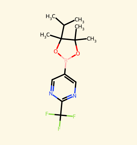 CC(C)C1(C)OB(c2cnc(C(F)(F)F)nc2)OC1(C)C